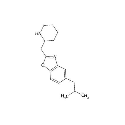 CC(C)Cc1ccc2oc(CC3CCCCN3)nc2c1